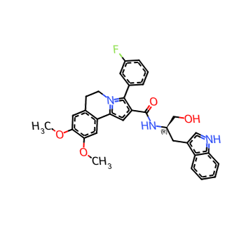 COc1cc2c(cc1OC)-c1cc(C(=O)N[C@@H](CO)Cc3c[nH]c4ccccc34)c(-c3cccc(F)c3)n1CC2